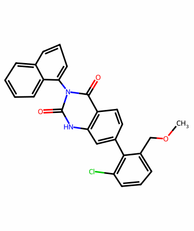 COCc1cccc(Cl)c1-c1ccc2c(=O)n(-c3cccc4ccccc34)c(=O)[nH]c2c1